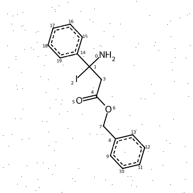 NC(I)(CC(=O)OCc1ccccc1)c1ccccc1